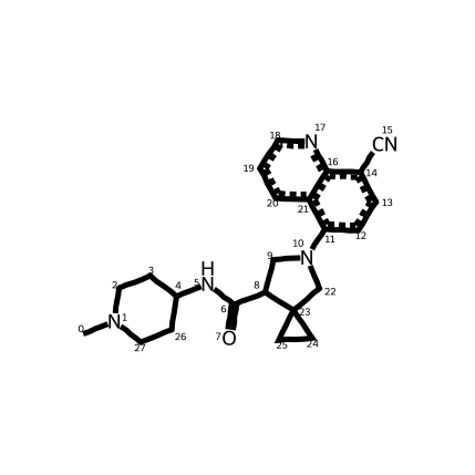 CN1CCC(NC(=O)C2CN(c3ccc(C#N)c4ncccc34)CC23CC3)CC1